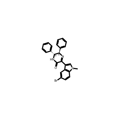 Cn1cc(C2=N[C@H](c3ccccc3)[C@@H](c3ccccc3)NC2=O)c2cc(Br)ccc21